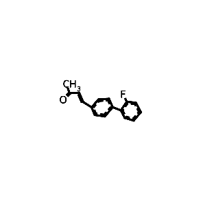 CC(=O)C=Cc1ccc(-c2ccccc2F)cc1